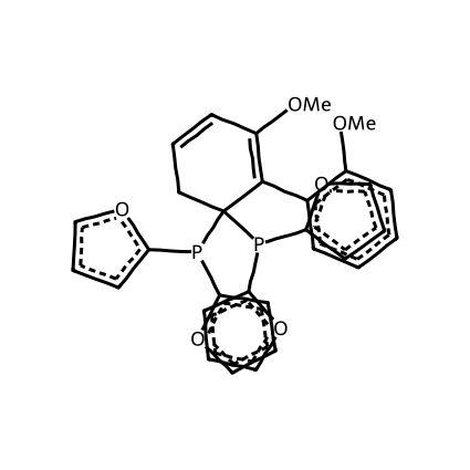 COC1=C(c2ccccc2OC)C(P(c2ccco2)c2ccco2)(P(c2ccco2)c2ccco2)CC=C1